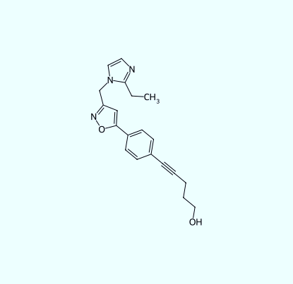 CCc1nccn1Cc1cc(-c2ccc(C#CCCCO)cc2)on1